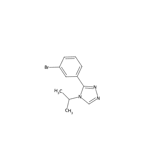 CC(C)n1cnnc1-c1cccc(Br)c1